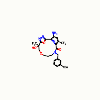 CC(C)(C)c1cccc(CN2CCCOCC(O)(C(F)(F)F)c3nnc(o3)-c3nc(c(C(F)(F)F)cc3N)C2=O)c1